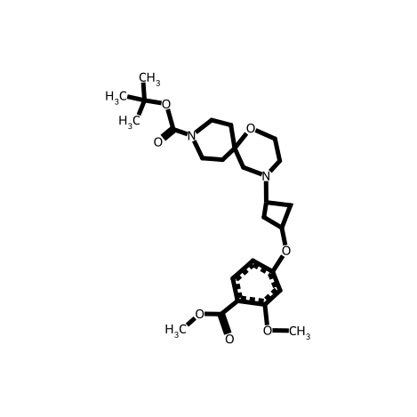 COC(=O)c1ccc(OC2CC(N3CCOC4(CCN(C(=O)OC(C)(C)C)CC4)C3)C2)cc1OC